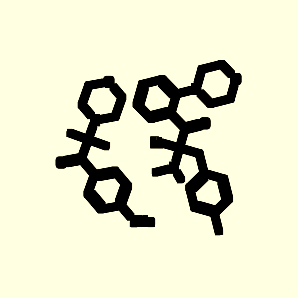 CCC(Cc1ccc(C)cc1)(C(=O)c1ccccc1N1CCOCC1)N(C)C.CSc1ccc(C(=O)C(C)(C)N2CCOCC2)cc1